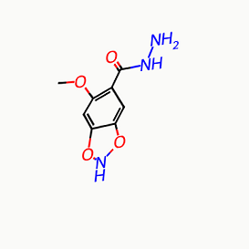 COc1cc2c(cc1C(=O)NN)ONO2